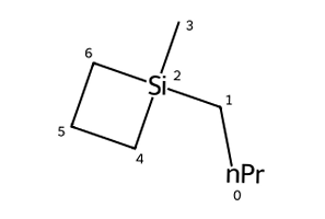 CCCC[Si]1(C)CCC1